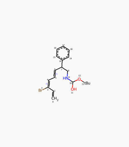 C=C/C(Br)=C\C=C\C(CNC(O)OC(C)(C)C)c1ccccc1